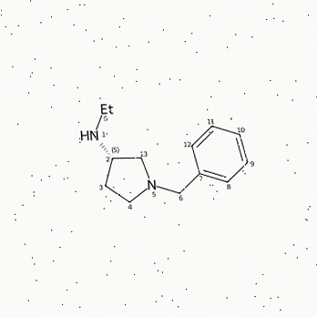 CCN[C@H]1CCN(Cc2ccccc2)C1